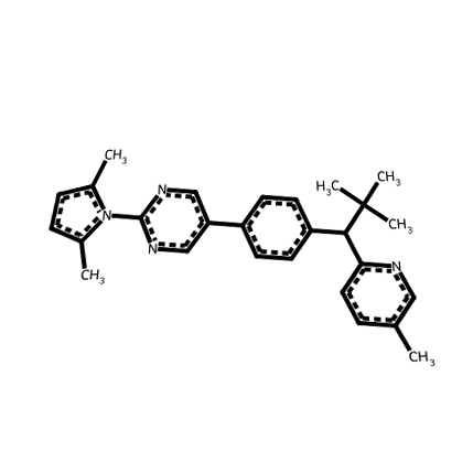 Cc1ccc(C(c2ccc(-c3cnc(-n4c(C)ccc4C)nc3)cc2)C(C)(C)C)nc1